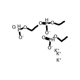 CCO[PH](=O)[O-].CCO[PH](=O)[O-].CCO[PH](=O)[O-].[K+].[K+].[K+]